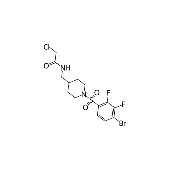 O=C(CCl)NCC1CCN(S(=O)(=O)c2ccc(Br)c(F)c2F)CC1